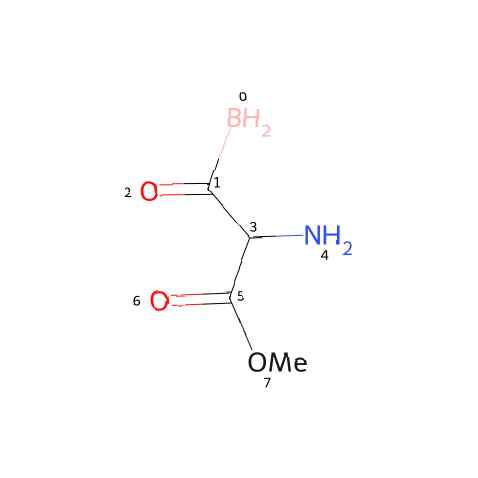 BC(=O)C(N)C(=O)OC